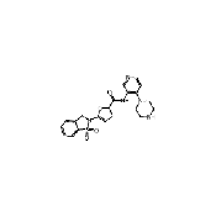 O=C(Nc1cnccc1N1CCNCC1)C1CC=C(N2Cc3ccccc3S2(=O)=O)O1